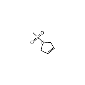 CS(=O)(=O)N1CC=CC1